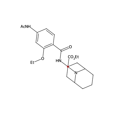 CCOC(=O)CN1C2CCCC1CC(NC(=O)c1ccc(NC(C)=O)cc1OCC)C2